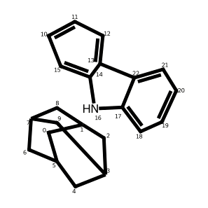 C1C2CC3CC1CC(C2)C3.c1ccc2c(c1)[nH]c1ccccc12